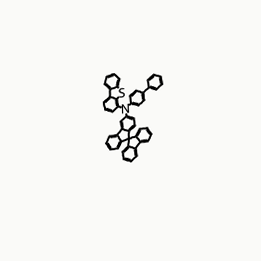 c1ccc(-c2ccc(N(c3ccc4c(c3)-c3ccccc3C43c4ccccc4-c4ccccc43)c3cccc4c3sc3ccccc34)cc2)cc1